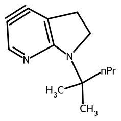 CCCC(C)(C)N1CCc2c#ccnc21